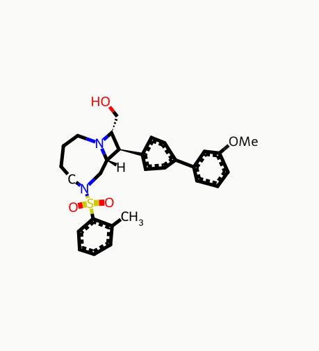 COc1cccc(-c2ccc([C@@H]3[C@@H](CO)N4CCCCN(S(=O)(=O)c5ccccc5C)C[C@@H]34)cc2)c1